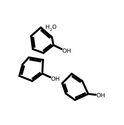 O.Oc1ccccc1.Oc1ccccc1.Oc1ccccc1